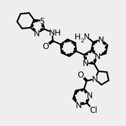 Nc1nccn2c(C3CCCN3C(=O)c3ccnc(Cl)n3)nc(-c3ccc(C(=O)Nc4nc5c(s4)CCCC5)cc3)c12